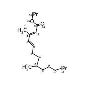 CC(C=CCCC(C)CCCC(C)C)=CC(=O)OC(C)C